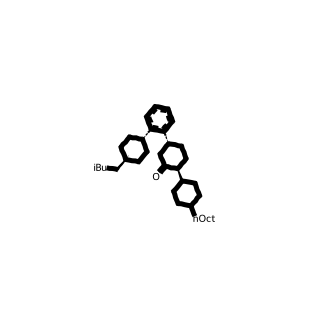 CCCCCCCCC1CCC([C@@H]2CC[C@@H](c3ccccc3[C@H]3CC[C@H](CC(C)CC)CC3)CC2=O)CC1